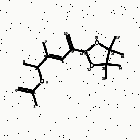 C=C(C)OC(C)/C(C)=C/C(=C)B1OC(C)(C)C(C)(C)O1